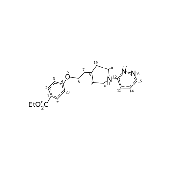 CCOC(=O)c1ccc(OCCC2CCN(c3cccnn3)CC2)cc1